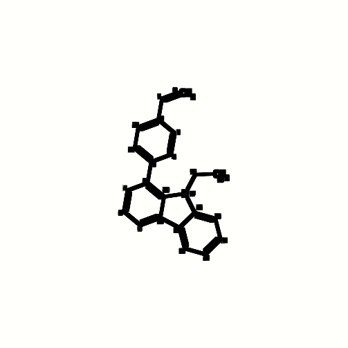 C=Cc1ccc(-c2cccc3c4ccccc4n(CC)c23)cc1